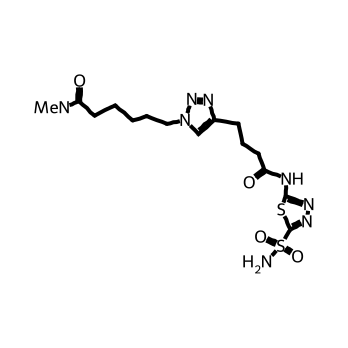 CNC(=O)CCCCCn1cc(CCCC(=O)Nc2nnc(S(N)(=O)=O)s2)nn1